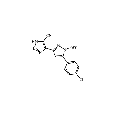 CCCn1nc(-c2nn[nH]c2C#N)cc1-c1ccc(Cl)cc1